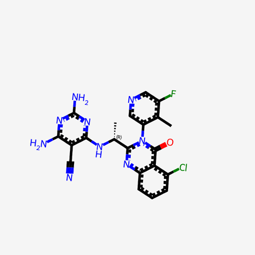 Cc1c(F)cncc1-n1c([C@@H](C)Nc2nc(N)nc(N)c2C#N)nc2cccc(Cl)c2c1=O